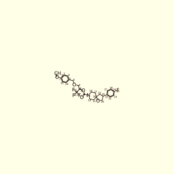 COc1ccc(COC[C@@H](OC(=O)N2CCC3(CC2)CC(c2ccc(F)cc2)CO3)C(F)(F)F)cc1